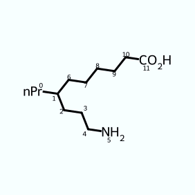 CCCC(CCCN)CCCCCC(=O)O